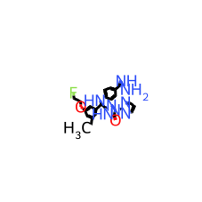 CCc1cc(OCCF)cc(C(Nc2ccc(C(=N)N)cc2)c2nn(-c3ncccn3)c(=O)[nH]2)c1